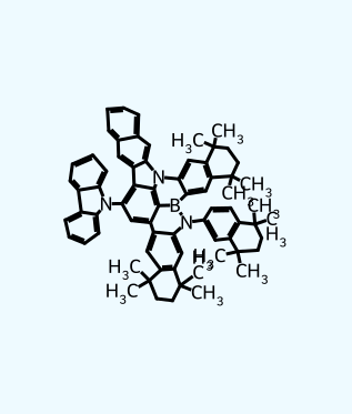 CC1(C)CCC(C)(C)c2cc(N3B4c5cc6c(cc5-n5c7cc8ccccc8cc7c7c(-n8c9ccccc9c9ccccc98)cc(c4c75)-c4cc5c(cc43)C(C)(C)CCC5(C)C)C(C)(C)CCC6(C)C)ccc21